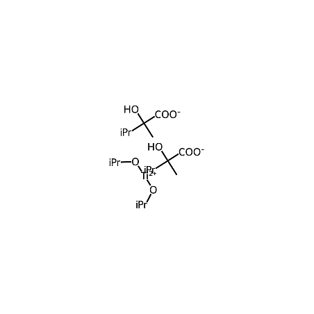 CC(C)C(C)(O)C(=O)[O-].CC(C)C(C)(O)C(=O)[O-].CC(C)[O][Ti+2][O]C(C)C